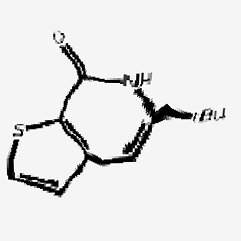 CC(C)(C)c1cc2ccsc2c(=O)[nH]1